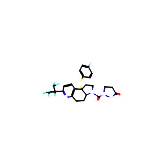 O=C1CCN(C(=O)N2CCC3([S+]([O-])c4ccc(F)cc4)c4ccc(C(F)(C(F)(F)F)C(F)(F)F)nc4CCC23)N1